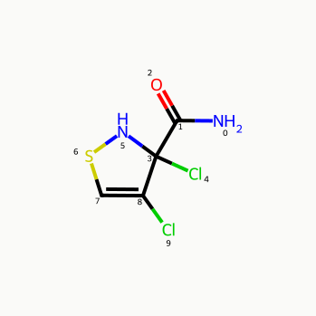 NC(=O)C1(Cl)NSC=C1Cl